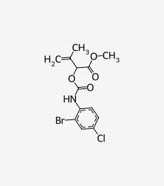 C=C(C)C(OC(=O)Nc1ccc(Cl)cc1Br)C(=O)OC